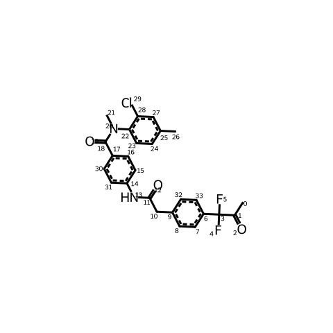 CC(=O)C(F)(F)c1ccc(CC(=O)Nc2ccc(C(=O)N(C)c3ccc(C)cc3Cl)cc2)cc1